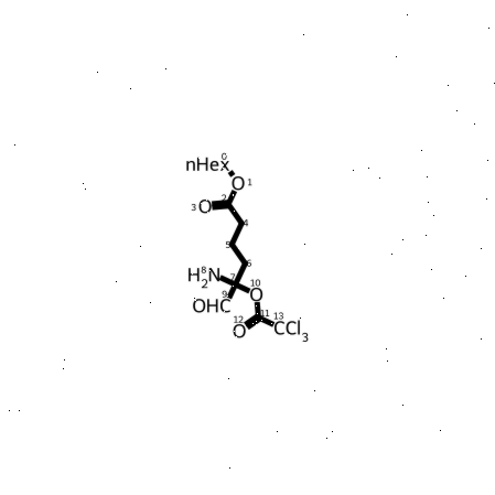 CCCCCCOC(=O)CCCC(N)(C=O)OC(=O)C(Cl)(Cl)Cl